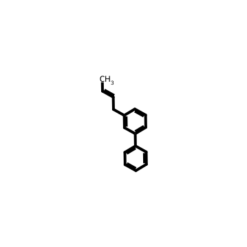 CC=CCc1cccc(-c2ccccc2)c1